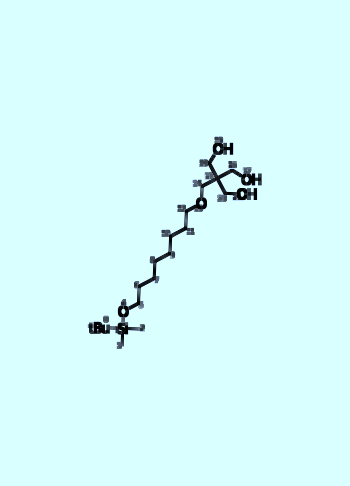 CC(C)(C)[Si](C)(C)OCCCCCCCCOCC(CO)(CO)CO